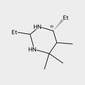 CCC1N[C@H](CC)C(C)C(C)(C)N1